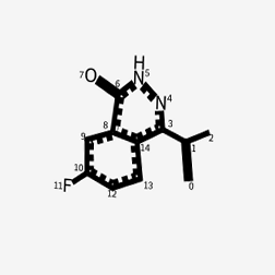 C=C(C)c1n[nH]c(=O)c2cc(F)ccc12